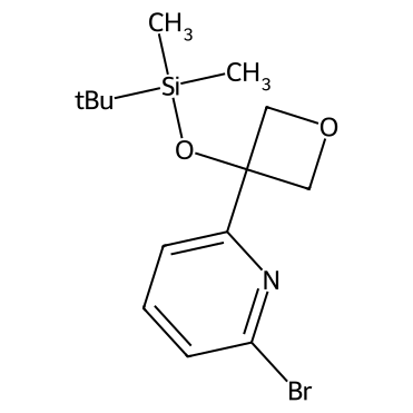 CC(C)(C)[Si](C)(C)OC1(c2cccc(Br)n2)COC1